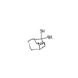 SC1(S)CC2CCC1N2